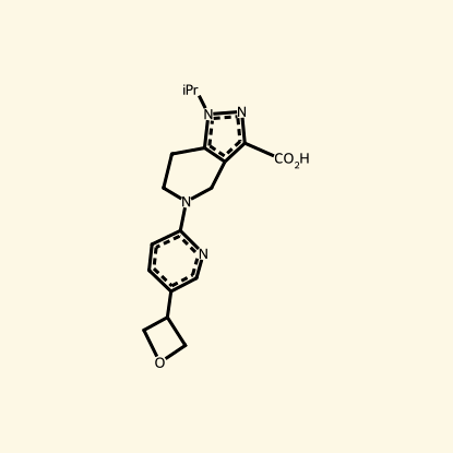 CC(C)n1nc(C(=O)O)c2c1CCN(c1ccc(C3COC3)cn1)C2